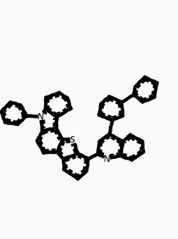 c1ccc(-c2cccc(-c3cc(-c4cccc5c4sc4c5ccc5c4c4ccccc4n5-c4ccccc4)nc4ccccc34)c2)cc1